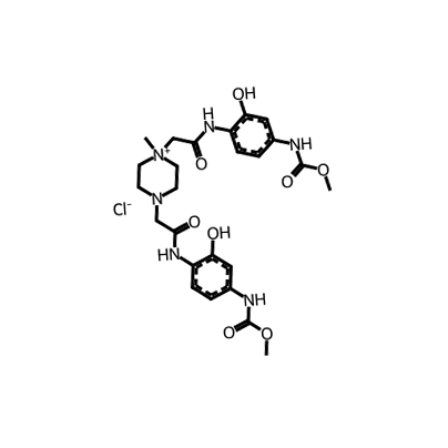 COC(=O)Nc1ccc(NC(=O)CN2CC[N+](C)(CC(=O)Nc3ccc(NC(=O)OC)cc3O)CC2)c(O)c1.[Cl-]